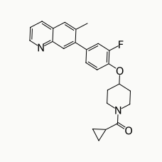 Cc1cc2cccnc2cc1-c1ccc(OC2CCN(C(=O)C3CC3)CC2)c(F)c1